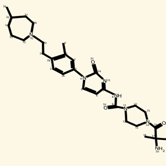 Cc1cc(-n2ccc(NC(=O)N3CCN(C(=O)C(C)(C)N)CC3)nc2=O)ccc1CCN1CCCC(C)CC1